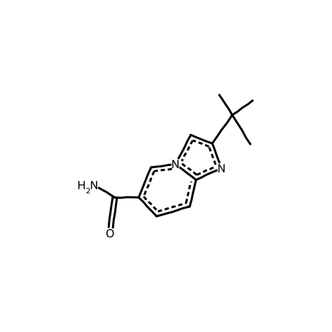 CC(C)(C)c1cn2cc(C(N)=O)ccc2n1